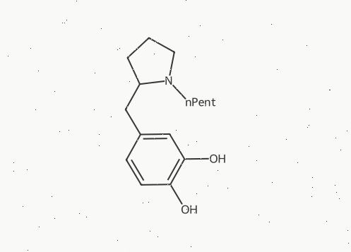 [CH2]CCCCN1CCCC1Cc1ccc(O)c(O)c1